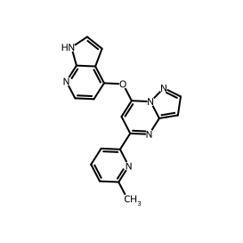 Cc1cccc(-c2cc(Oc3ccnc4[nH]ccc34)n3nccc3n2)n1